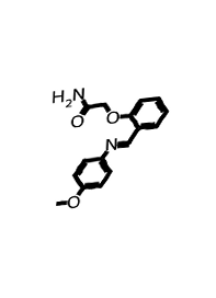 COc1ccc(/N=C/c2ccccc2OCC(N)=O)cc1